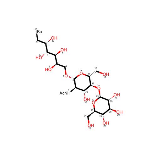 CC(=O)N[C@H]1[C@H](OC[C@@H](O)[C@H](O)[C@H](O)[C@@H](O)CC(C)(C)C)O[C@H](CO)[C@@H](O[C@@H]2O[C@H](CO)[C@@H](O)[C@H](O)[C@H]2O)[C@@H]1O